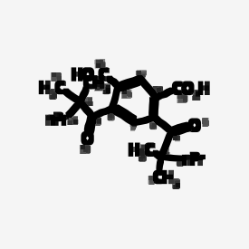 CCCC(C)(C)C(=O)c1cc(C(=O)C(C)(C)CCC)c(C(=O)O)cc1C(=O)O